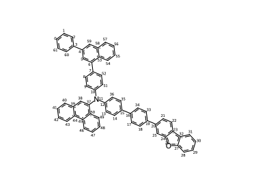 c1ccc(-c2cc(-c3ccc(N(c4ccc(-c5ccc(-c6ccc7c(c6)oc6ccccc67)cc5)cc4)c4cc5ccccc5c5ccccc45)cc3)c3ccccc3c2)cc1